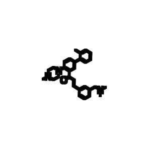 Cc1ccccc1-c1ccc(N2CCN(C)CC2)c(C(=O)C=Cc2cccc(CN(C)C)c2)c1